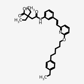 CCc1ccc(CCCCCOc2cccc(/C=C/c3cccc(NC(=O)CC(CC)(CC)C(=O)O)c3)n2)cc1